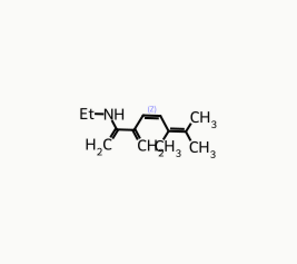 C=C(/C=C\C(C)=C(C)C)C(=C)NCC